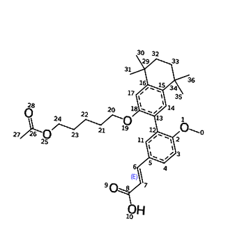 COc1ccc(/C=C/C(=O)O)cc1-c1cc2c(cc1OCCCCCOC(C)=O)C(C)(C)CCC2(C)C